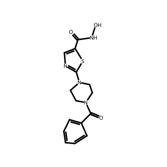 O=C(NO)c1cnc(N2CCN(C(=O)c3ccccc3)CC2)s1